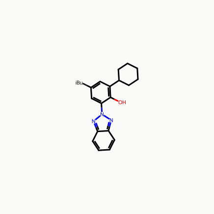 CCC(C)c1cc(C2CCCCC2)c(O)c(-n2nc3ccccc3n2)c1